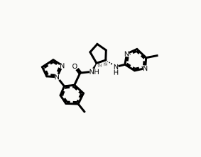 Cc1ccc(-n2cccn2)c(C(=O)N[C@H]2CCC[C@@H]2Nc2cnc(C)cn2)c1